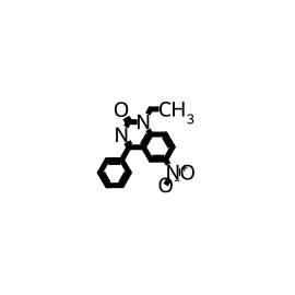 CCn1c(=O)nc(-c2ccccc2)c2cc([N+](=O)[O-])ccc21